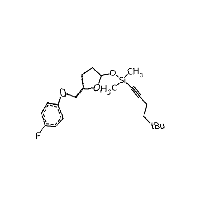 CC(C)(C)CCC#C[Si](C)(C)OC1CCC(COc2ccc(F)cc2)O1